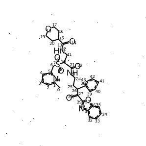 Cc1cccc(CS(=O)(=O)C(CNC(=O)C2CCOCC2)C(=O)NCCC(C(=O)c2nc3ccccc3o2)c2ccccc2)n1